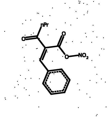 CCCC(=O)C(=Cc1ccccc1)C(=O)O[N+](=O)[O-]